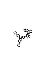 Cc1c(C)c(-c2ccc(N(c3ccc(-c4ccccc4)cc3)c3ccc(-c4ccccc4)cc3)cc2)c(C)c(-n2c3ccccc3c3ccncc32)c1C